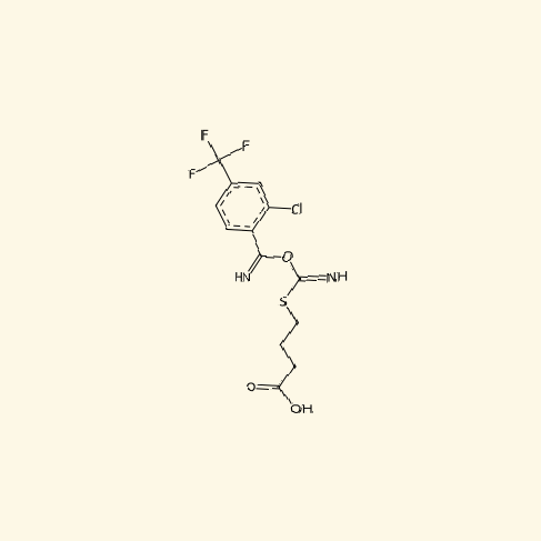 N=C(OC(=N)c1ccc(C(F)(F)F)cc1Cl)SCCCC(=O)O